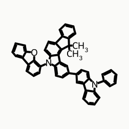 CC1(C)c2ccccc2-c2ccc3c(c21)c1cc(-c2ccc4c(c2)c2ccccc2n4-c2ccccc2)ccc1n3-c1cccc2c1oc1ccccc12